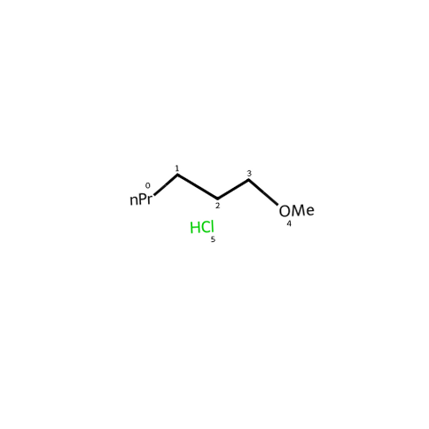 CCCCCCOC.Cl